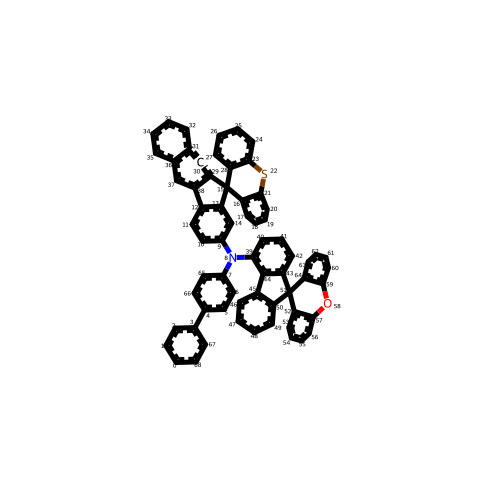 c1ccc(-c2ccc(N(c3ccc4c(c3)C3(c5ccccc5Sc5ccccc53)c3cc5ccccc5cc3-4)c3cccc4c3-c3ccccc3C43c4ccccc4Oc4ccccc43)cc2)cc1